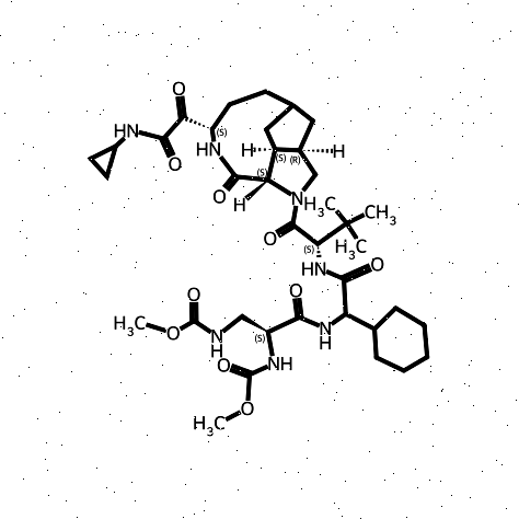 COC(=O)NC[C@H](NC(=O)OC)C(=O)NC(C(=O)N[C@H](C(=O)N1C[C@@H]2CC3CC[C@@H](C(=O)C(=O)NC4CC4)NC(=O)[C@@H]1[C@H]2C3)C(C)(C)C)C1CCCCC1